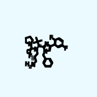 CC(C)(C)[C@H](c1nc(-c2cc(F)ccc2F)cn1Cc1ccccc1)N(C[C@@H](F)CN)C(=O)N1CCCC1